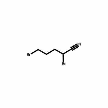 N#CC(Br)CCCBr